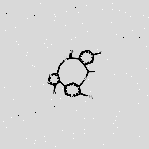 CCc1noc2c1-c1cnc(N)c(c1)OC(C)c1cc(F)ccc1C(=N)NC2